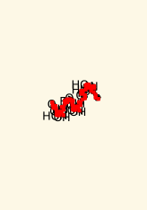 COc1ccc(NC(=O)N2C[C@@H](O)[C@@H](O)CN3[C@H](CN(C)C)[C@H](c4ccc(C#Cc5cc(-c6cc(NC(=O)N7C[C@H](O)[C@H](O)CN8[C@H](CN(C)C)[C@H](c9ccc(C#Cc%10cccc(-c%11cc(NC(=O)N%12C[C@@H](O)[C@@H](C)CN%13[C@H](CN(C)C)[C@H](c%14ccc(C#Cc%15ccccc%15)cc%14)[C@@H]%13C%12)ccc%11OC)c%10)cc9)[C@@H]8C7)ccc6OC)ccc5F)cc4)[C@@H]3C2)cc1